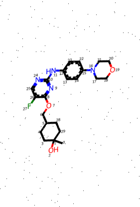 CC1(O)CCC(COc2nc(Nc3ccc(N4CCOCC4)cc3)ncc2F)CC1